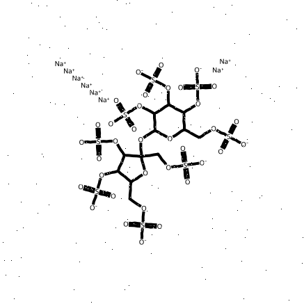 O=S(=O)([O-])OCC1OC(OC2(COS(=O)(=O)[O-])OC(COS(=O)(=O)[O-])C(OS(=O)(=O)[O-])C2OS(=O)(=O)[O-])C(OS(=O)(=O)[O-])C(OS(=O)(=O)[O-])C1OS(=O)(=O)[O-].[Na+].[Na+].[Na+].[Na+].[Na+].[Na+].[Na+].[Na+]